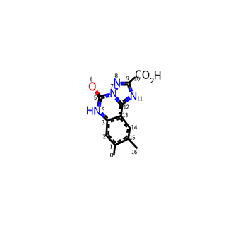 Cc1cc2[nH]c(=O)n3nc(C(=O)O)nc3c2cc1C